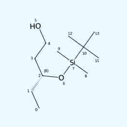 CC[C@H](CCO)O[Si](C)(C)C(C)(C)C